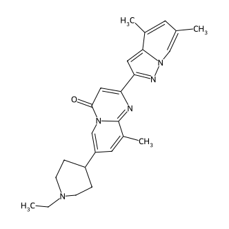 CCN1CCC(c2cc(C)c3nc(-c4cc5c(C)cc(C)cn5n4)cc(=O)n3c2)CC1